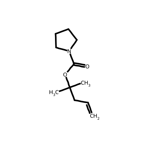 C=CCC(C)(C)OC(=O)N1CCCC1